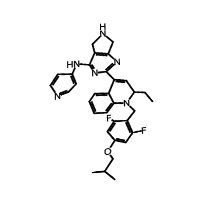 CCC1C=C(c2nc3c(c(Nc4ccncc4)n2)CNC3)c2ccccc2N1Cc1c(F)cc(OCC(C)C)cc1F